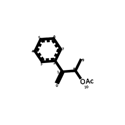 C=C(c1ccccc1)C(C)OC(C)=O